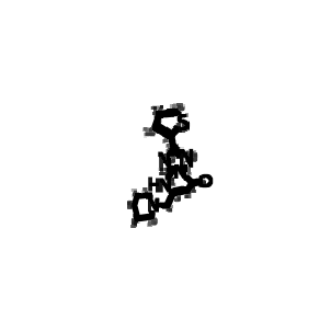 O=c1cc(CN2CCCCC2)[nH]c2nc(-c3cccs3)nn12